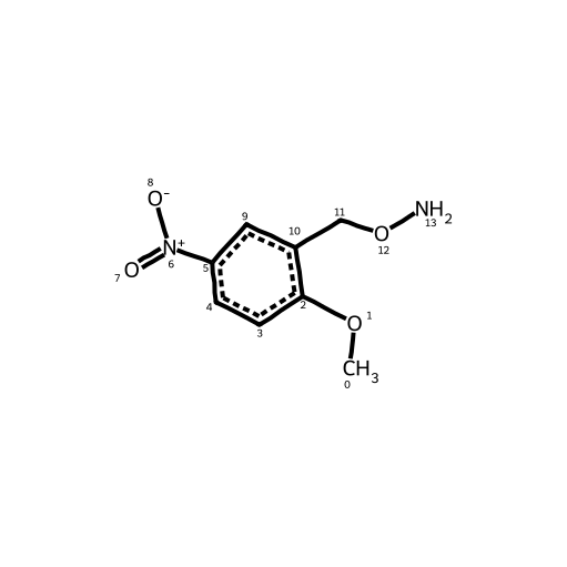 COc1ccc([N+](=O)[O-])cc1CON